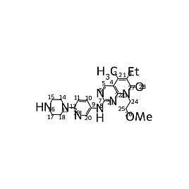 CCc1c(C)c2cnc(Nc3ccc(N4CCNCC4)nc3)nc2n(CCOC)c1=O